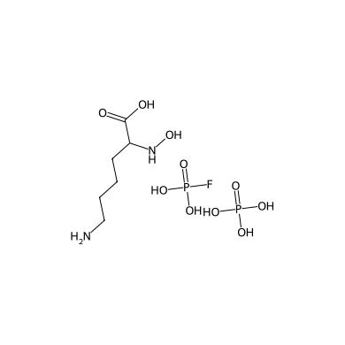 NCCCCC(NO)C(=O)O.O=P(O)(O)F.O=P(O)(O)O